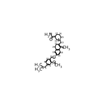 COc1cc(CC(C)C)ccc1COc1ccc2c(c1)CCC(CN1CCCC(C(N)=O)C1)=C2C